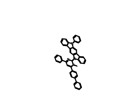 CN1C(c2ccc(-c3ccccc3)cc2)=CC(c2ccccc2)=NC1n1c2ccccc2c2cc3c(cc21)c1ccccc1n3-c1ccccc1